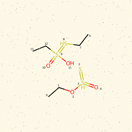 CCO[SH](=O)=S.CC[SH]=S(=O)(O)CC